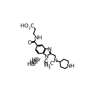 Br.Br.Br.CN(Cc1nc2cc(C(=O)NCCC(=O)O)ccc2n1C)C1CCNCC1